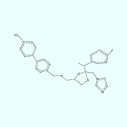 CC(c1ccc(F)cc1)C1(Cn2ccnc2)OCC(COCc2ccc(-c3ccc(Cl)cc3)cc2)O1